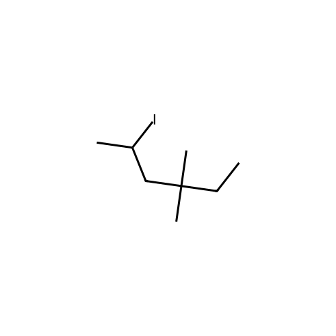 CCC(C)(C)CC(C)I